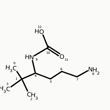 CC(C)(C)C(CCCN)NC(=O)O